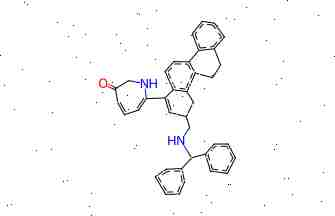 O=C1C=CC=C(C2=CC(CNC(c3ccccc3)c3ccccc3)Cc3c2ccc2c3CCc3ccccc3-2)NC1